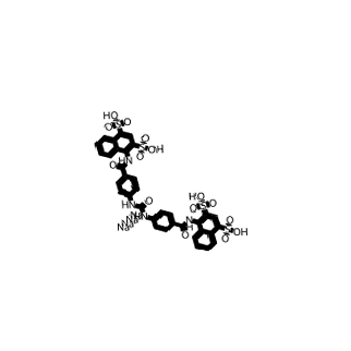 O=C(Nc1ccc(C(=O)Nc2c(S(=O)(=O)O)cc(S(=O)(=O)O)c3ccccc23)cc1)Nc1ccc(C(=O)Nc2c(S(=O)(=O)O)cc(S(=O)(=O)O)c3ccccc23)cc1.[Na].[Na].[Na].[Na]